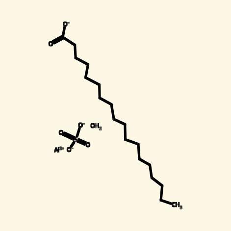 CCCCCCCCCCCCCCCCCC(=O)[O-].O.O=S(=O)([O-])[O-].[Al+3]